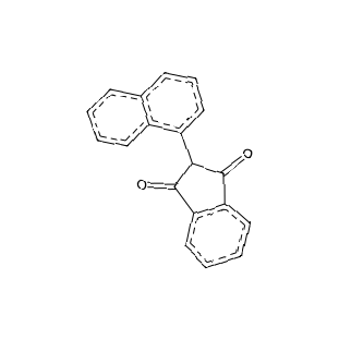 O=C1c2ccccc2C(=O)C1c1cccc2ccccc12